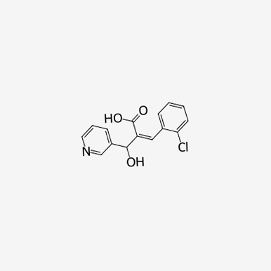 O=C(O)C(=Cc1ccccc1Cl)C(O)c1cccnc1